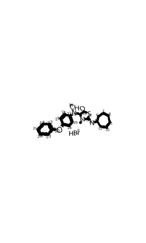 Br.CN1C(=NC2CCCCCC2)SCC1N(C=O)c1ccc(Oc2ccccc2)cc1